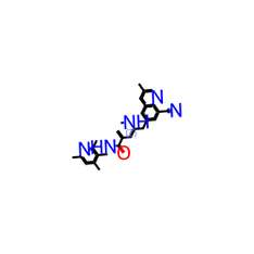 C=C(/C=C(/Cc1cc(C#N)c2ncc(C)cc2c1)NC)C(=O)NCc1c(C)cc(C)nc1C